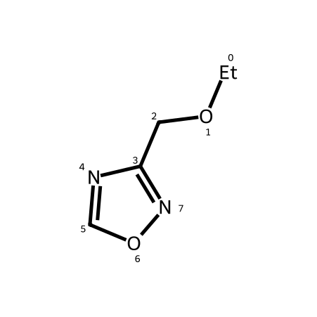 CCOCc1ncon1